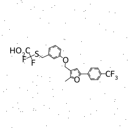 Cc1oc(-c2ccc(C(F)(F)F)cc2)cc1COc1cccc(CSC(F)(F)C(=O)O)c1